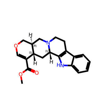 COC(=O)C1=COC[C@H]2CN3CCc4c([nH]c5ccccc45)[C@@H]3C[C@H]12